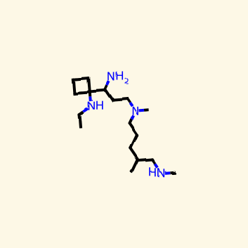 CCNC1(C(N)CCN(C)CCCC(C)CNC)CCC1